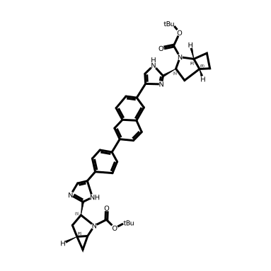 CC(C)(C)OC(=O)N1C2C[C@@H]2C[C@H]1c1ncc(-c2ccc(-c3ccc4cc(-c5c[nH]c([C@@H]6C[C@H]7CC[C@H]7N6C(=O)OC(C)(C)C)n5)ccc4c3)cc2)[nH]1